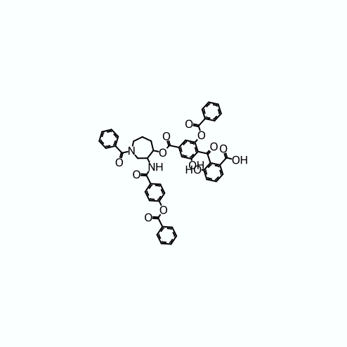 O=C(NC1CN(C(=O)c2ccccc2)CCCC1OC(=O)c1cc(O)c(C(=O)c2c(O)cccc2C(=O)O)c(OC(=O)c2ccccc2)c1)c1ccc(OC(=O)c2ccccc2)cc1